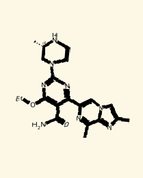 CCOc1nc(N2CCN[C@@H](C)C2)nc(-c2cn3cc(C)nc3c(C)n2)c1C(N)=O